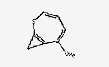 CNC1=CC=CSC2=C1C2